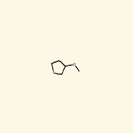 COC1CCSC1